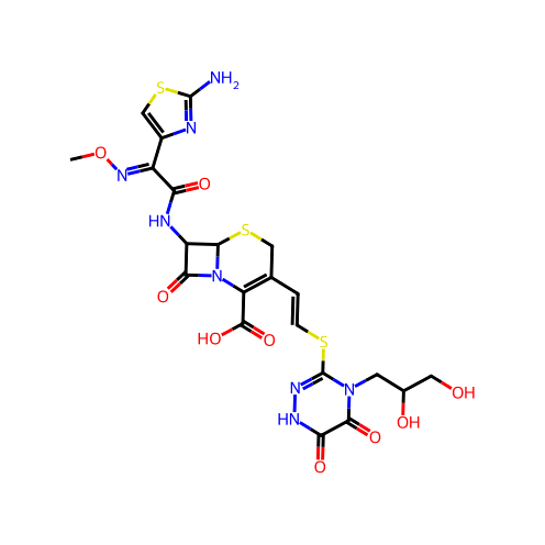 CON=C(C(=O)NC1C(=O)N2C(C(=O)O)=C(C=CSc3n[nH]c(=O)c(=O)n3CC(O)CO)CSC12)c1csc(N)n1